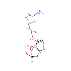 CC1(C)Cc2cccc(OCCN3CCC(N)C3)c2O1